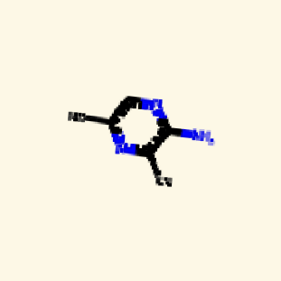 N#Cc1cnc(N)c(C#N)n1